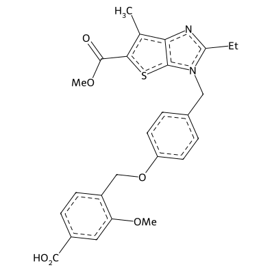 CCc1nc2c(C)c(C(=O)OC)sc2n1Cc1ccc(OCc2ccc(C(=O)O)cc2OC)cc1